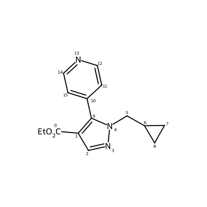 CCOC(=O)c1cnn(CC2CC2)c1-c1ccncc1